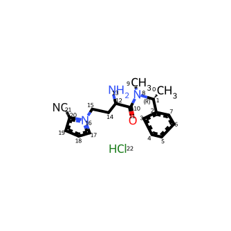 C[C@H](c1ccccc1)N(C)C(=O)C(N)CCn1cccc1C#N.Cl